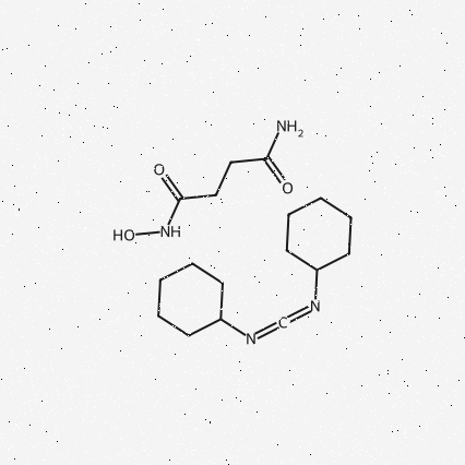 C(=NC1CCCCC1)=NC1CCCCC1.NC(=O)CCC(=O)NO